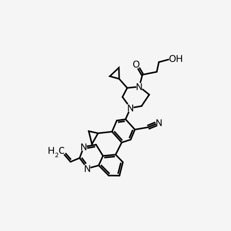 C=Cc1ncc2c(-c3cc(C#N)c(N4CCN(C(=O)CCO)C(C5CC5)C4)cc3C3CC3)cccc2n1